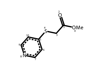 COC(=O)CSc1ccncc1